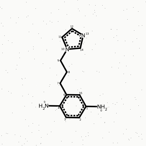 Nc1ccc(N)c(CCCn2ccnc2)c1